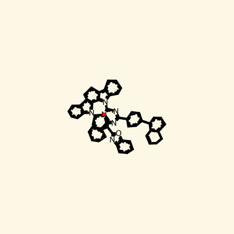 C1=Cc2c(cccc2-c2ccc(-c3nc(-c4ccccc4)nc(-n4c5ccccc5c5ccc6c7ccccc7n(-c7ccc(-c8nc9ccccc9o8)cc7)c6c54)n3)cc2)CC1